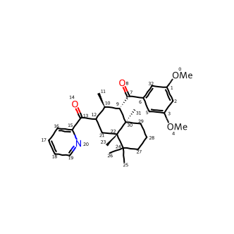 COc1cc(OC)cc(C(=O)[C@H]2[C@H](C)C(C(=O)c3ccccn3)C[C@@]3(C)C(C)(C)CCC[C@]23C)c1